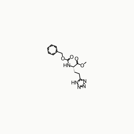 COC(=O)[C@H](CCc1nnn[nH]1)NC(=O)OCc1ccccc1